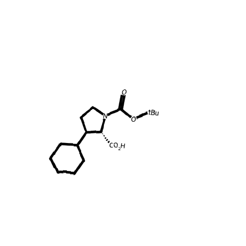 CC(C)(C)OC(=O)N1CCC(C2CCCCC2)[C@H]1C(=O)O